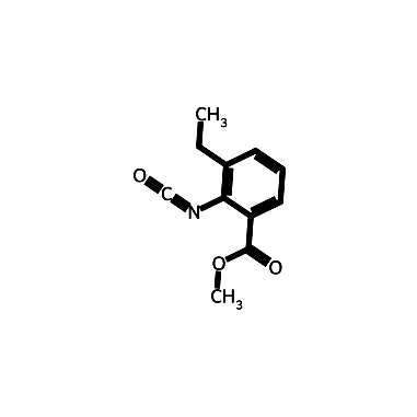 CCc1cccc(C(=O)OC)c1N=C=O